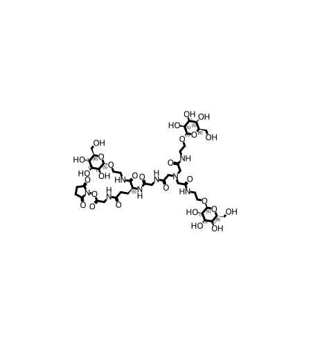 O=C(CC[C@H](NC(=O)CNC(=O)CN(CC(=O)NCCO[C@H]1O[C@H](CO)[C@@H](O)[C@H](O)[C@@H]1O)CC(=O)NCCO[C@H]1O[C@H](CO)[C@@H](O)[C@H](O)[C@@H]1O)C(=O)NCCO[C@H]1O[C@H](CO)[C@@H](O)[C@H](O)[C@@H]1O)NCC(=O)ON1C(=O)CCC1=O